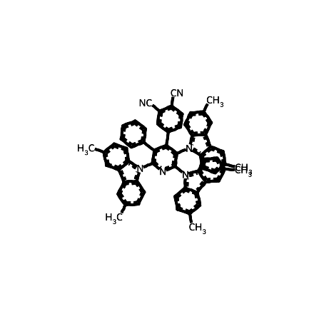 Cc1ccc2c(c1)c1cc(C)ccc1n2-c1nc(-n2c3ccc(C)cc3c3cc(C)ccc32)c(-n2c3ccc(C)cc3c3cc(C)ccc32)c(-c2ccc(C#N)c(C#N)c2)c1-c1ccccc1